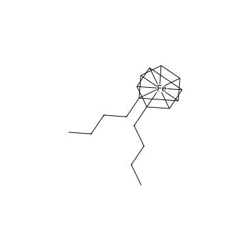 CCCC[C]12[CH]3[CH]4[CH]5[CH]1[Fe]45321678[CH]2[CH]1[CH]6[C]7(CCCC)[CH]28